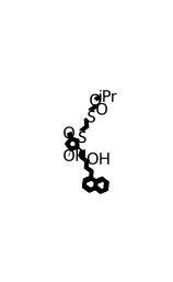 CC(C)OC(=O)CSCCCS[C@H]1C(=O)C[C@@H](O)[C@@H]1C=C[C@@H](O)CCc1cccc2ccccc12